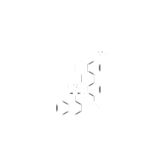 COc1ccc(-c2ccc(OC(F)(F)F)cc2)c2c1CCCC2C(=O)NS(=O)(=O)c1cccc2ccccc12